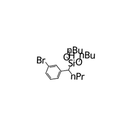 CCCCO[SiH](OCCCC)C(CCC)c1cccc(Br)c1